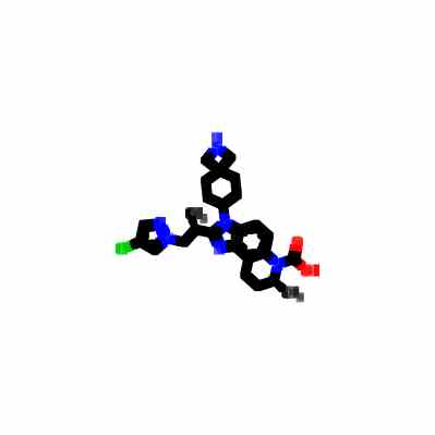 C[C@H](Cn1cc(Cl)cn1)c1nc2c3c(ccc2n1C1CCC2(CC1)CNC2)N(C(=O)O)[C@@H](C)CC3